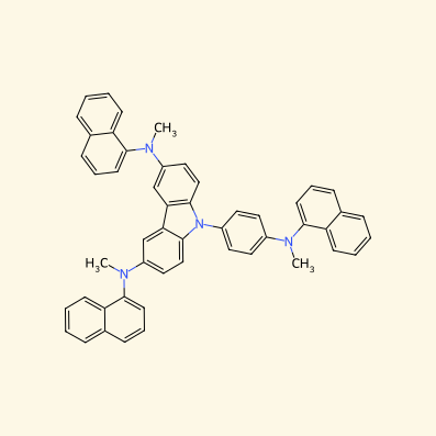 CN(c1ccc(-n2c3ccc(N(C)c4cccc5ccccc45)cc3c3cc(N(C)c4cccc5ccccc45)ccc32)cc1)c1cccc2ccccc12